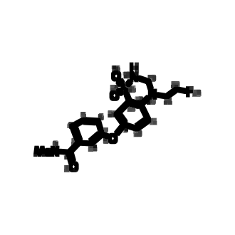 CNC(=O)c1cccc(Oc2ccc3c(c2)S(=O)(=O)NCN3CCF)c1